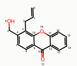 C=CCc1c(CO)ccc2c(=O)c3ccccc3oc12